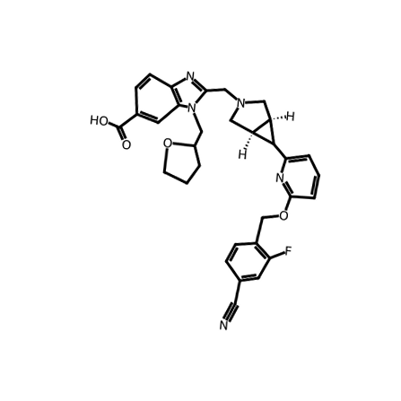 N#Cc1ccc(COc2cccc(C3[C@H]4CN(Cc5nc6ccc(C(=O)O)cc6n5CC5CCCO5)C[C@@H]34)n2)c(F)c1